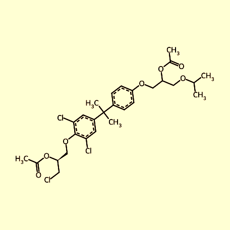 CC(=O)OC(COc1ccc(C(C)(C)c2cc(Cl)c(OC[C@@H](CCl)OC(C)=O)c(Cl)c2)cc1)COC(C)C